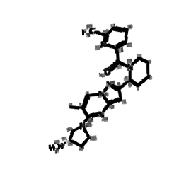 Cc1cn2nc([C@@H]3CCCCN3C(=O)c3cccc(C(F)(F)F)n3)cc2nc1N1CC[C@H](N)C1